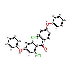 O=C(c1ccc(Oc2ccccc2)cc1Cl)c1ccc(Oc2ccccc2)cc1Cl